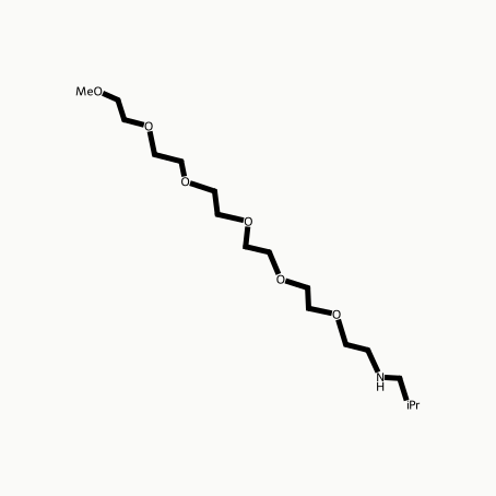 COCCOCCOCCOCCOCCOCCNCC(C)C